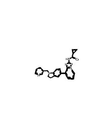 O=C(Nc1nc2c(-c3ccc4c(c3)CCN4Cc3cccnc3)cccn2n1)C1CC1